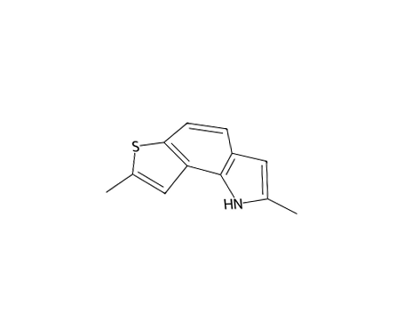 Cc1cc2ccc3sc(C)cc3c2[nH]1